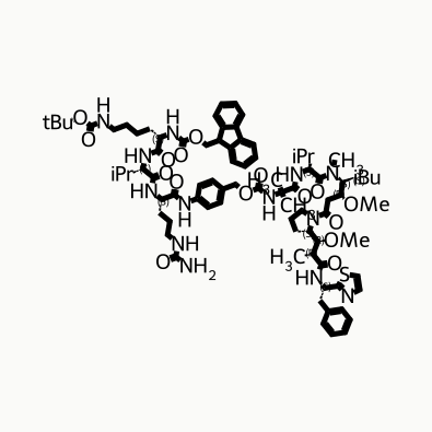 CC[C@H](C)[C@@H]([C@@H](CC(=O)N1CCC[C@H]1[C@H](OC)[C@@H](C)C(=O)N[C@@H](Cc1ccccc1)c1nccs1)OC)N(C)C(=O)[C@@H](NC(=O)C(C)(C)NC(=O)OCc1ccc(NC(=O)[C@H](CCCNC(N)=O)NC(=O)[C@@H](NC(=O)[C@H](CCCCNC(=O)OC(C)(C)C)NC(=O)OCC2c3ccccc3-c3ccccc32)C(C)C)cc1)C(C)C